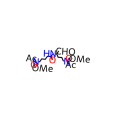 COON(CCCCC(=O)NC(C=O)CCCN(OOC)C(C)=O)C(C)=O